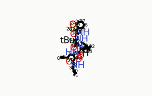 C#CCCC(NC(=O)[C@@H]1[C@@H]2C(CN1C(=O)[C@@H](NC(=O)NC1(C[S+](C)[O-])CCCCC1)C(C)(C)C)C2(C)C)C(=O)C(=O)NCC#C